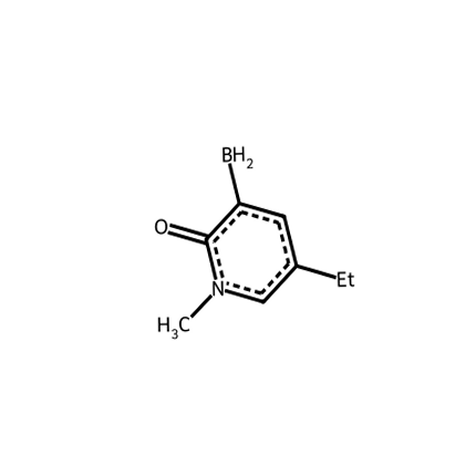 Bc1cc(CC)cn(C)c1=O